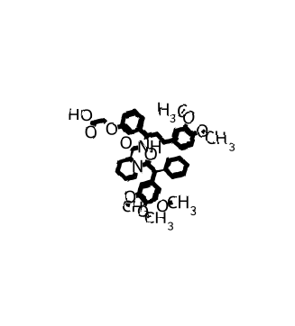 COc1ccc(CCC(NC(=O)[C@@H]2CCCCN2C(=O)C(c2cc(OC)c(OC)c(OC)c2)[C@@H]2C=CCCC2)c2cccc(OCC(=O)O)c2)cc1OC